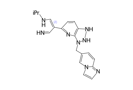 CC(C)N/C=C(\C=N)c1ccc2c(n1)N(Cc1ccc3nccn3c1)NN2